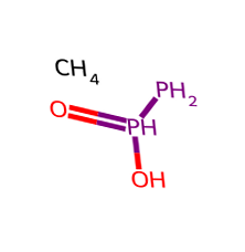 C.O=[PH](O)P